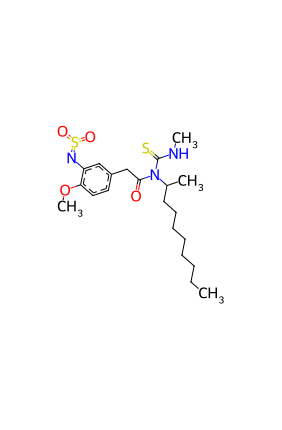 CCCCCCCCC(C)N(C(=O)Cc1ccc(OC)c(N=S(=O)=O)c1)C(=S)NC